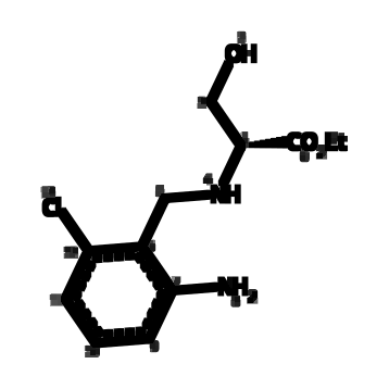 CCOC(=O)[C@@H](CO)NCc1c(N)cccc1Cl